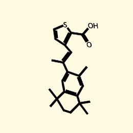 CC(=Cc1ccsc1C(=O)O)c1cc2c(cc1C)C(C)(C)CCC2(C)C